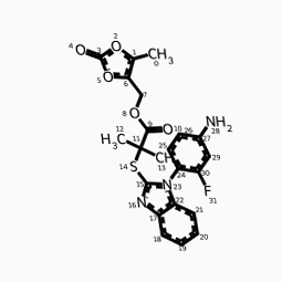 Cc1oc(=O)oc1COC(=O)C(C)(C)Sc1nc2ccccc2n1-c1ccc(N)cc1F